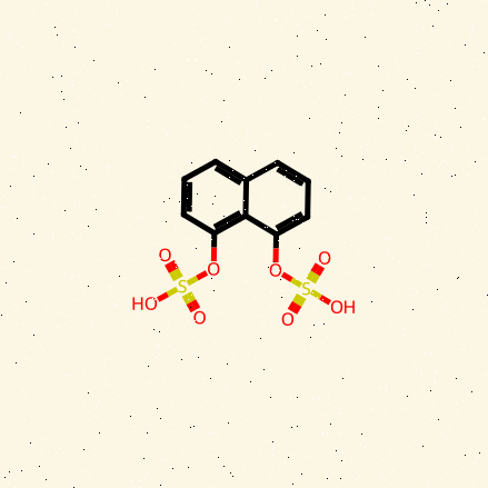 O=S(=O)(O)Oc1cccc2cccc(OS(=O)(=O)O)c12